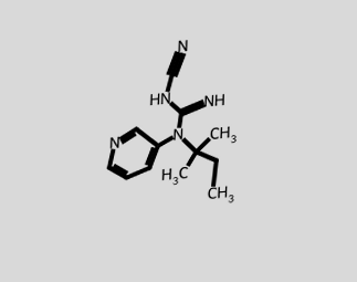 CCC(C)(C)N(C(=N)NC#N)c1cccnc1